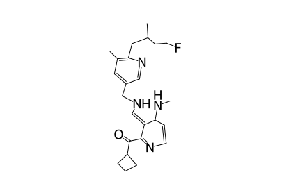 CNC1C=CN=C(C(=O)C2CCC2)/C1=C/NCc1cnc(CC(C)CCF)c(C)c1